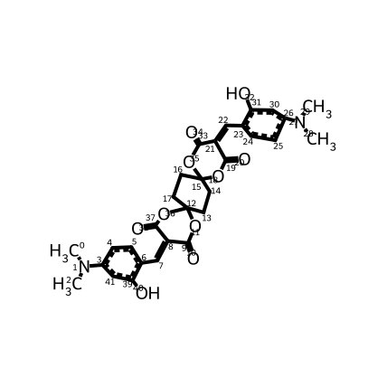 CN(C)c1ccc(C=C2C(=O)OC3(CCC4(CC3)OC(=O)C(=Cc3ccc(N(C)C)cc3O)C(=O)O4)OC2=O)c(O)c1